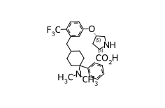 CN(C)C1(c2ccccc2)CCC(Cc2cc(O[C@@H]3CN[C@H](C(=O)O)C3)ccc2C(F)(F)F)CC1